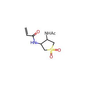 C=CC(=O)NC1CS(=O)(=O)CC1NC(C)=O